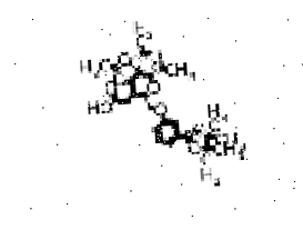 COC1O[C@@H](COc2cccc(B3OC(C)(C)C(C)(C)O3)c2)C(CC(=O)O)C(OC(C)=O)C1OC(C)=O